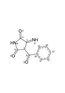 N=C1C(=O)NC(=O)C1C(=O)c1ccccc1